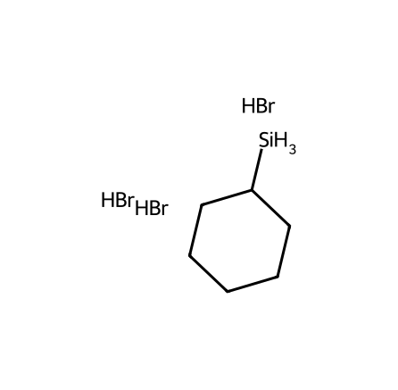 Br.Br.Br.[SiH3]C1CCCCC1